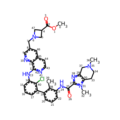 COC(=O)C1CN(Cc2cnc3c(Nc4cccc(-c5cccc(NC(=O)c6nc7c(n6C)CCN(C)C7)c5C)c4Cl)nccc3c2)C1